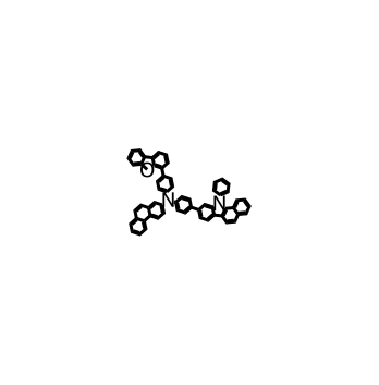 c1ccc(-n2c3cc(-c4ccc(N(c5ccc(-c6cccc7c6oc6ccccc67)cc5)c5ccc6c(ccc7ccccc76)c5)cc4)ccc3c3ccc4ccccc4c32)cc1